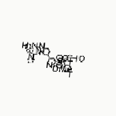 COc1ncc(-c2ccc3nc(N)n(CC4(N5CCCC5)CCOCC4)c3c2)cc1S(=O)(=O)N(OC=O)c1ccc(F)cc1F